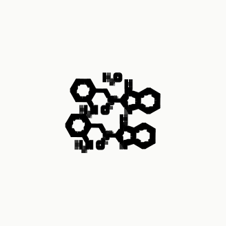 Nc1ccccc1C[S+]([O-])c1nc2ccccc2[nH]1.Nc1ccccc1C[S+]([O-])c1nc2ccccc2[nH]1.O